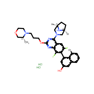 CCc1cccc2cc(O)cc(-c3c(F)cc4c(N5C[C@H]6CC[C@@H](C5)N6)nc(OCCCN5CCOC[C@H]5C)nc4c3F)c12.Cl.Cl